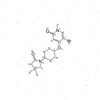 Cn1cc(Br)c(OC2CCC(N3CC(C)(C)CC3=O)CC2)cc1=O